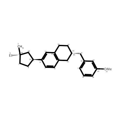 CC[C@@]1(C)CC[C@H](c2ccc3c(c2)CC[C@H](Cc2cccc(OC)c2)C3)C1